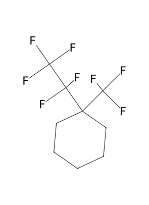 FC(F)(F)C(F)(F)C1(C(F)(F)F)CCCCC1